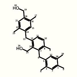 Cc1cc(C)c(Cc2c(C)ccc(Cc3cc(C)c(CO)cc3C)c2CO)cc1C